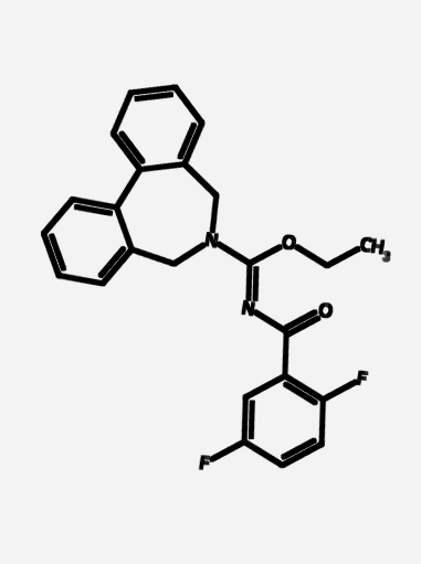 CCOC(=NC(=O)c1cc(F)ccc1F)N1Cc2ccccc2-c2ccccc2C1